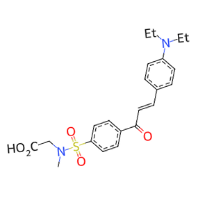 CCN(CC)c1ccc(/C=C/C(=O)c2ccc(S(=O)(=O)N(C)CC(=O)O)cc2)cc1